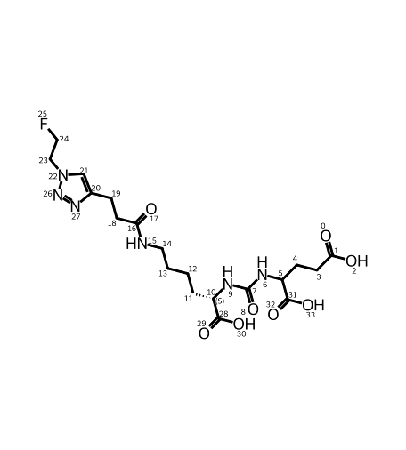 O=C(O)CCC(NC(=O)N[C@@H](CCCCNC(=O)CCc1cn(CCF)nn1)C(=O)O)C(=O)O